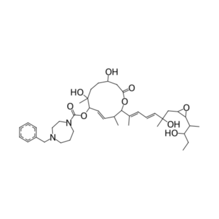 CCC(O)C(C)C1OC1CC(C)(O)/C=C/C=C(\C)C1OC(=O)CC(O)CCC(C)(O)C(OC(=O)N2CCCN(Cc3ccccc3)CC2)/C=C/C1C